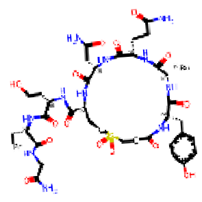 CC[C@H](C)[C@@H]1NC(=O)[C@H](Cc2ccc(O)cc2)NC(=O)CCS(=O)(=O)CC[C@@H](C(=O)N[C@@H](CCO)C(=O)N[C@@H](CC(C)C)C(=O)NCC(N)=O)NC(=O)[C@H](CC(N)=O)NC(=O)[C@H](CCC(N)=O)NC1=O